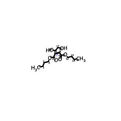 CCCCOC(=O)/C=C\C(=O)OCCCC.OCCO